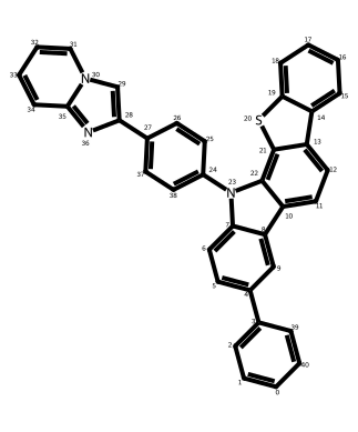 c1ccc(-c2ccc3c(c2)c2ccc4c5ccccc5sc4c2n3-c2ccc(-c3cn4ccccc4n3)cc2)cc1